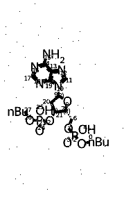 CCCCOP(=O)(O)OC[C@H]1O[C@@H](n2cnc3c(N)ncnc32)C[C@@H]1OP(=O)(O)OCCCC